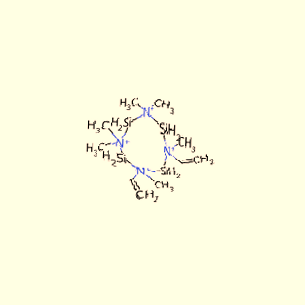 C=C[N+]1(C)[SiH2][N+](C)(C)[SiH2][N+](C)(C)[SiH2][N+](C)(C=C)[SiH2]1